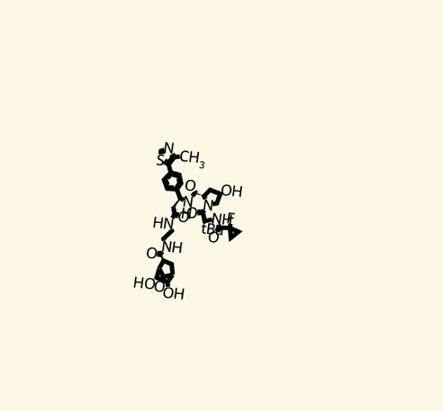 Cc1ncsc1-c1ccc([C@H](CC(=O)NCCNC(=O)[C@H]2CC3C(=O)C2[C@H](O)C3O)NC(=O)[C@@H]2C[C@@H](O)CN2C(=O)[C@@H](NC(=O)C2(F)CC2)C(C)(C)C)cc1